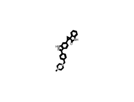 CN1CCN(Cc2ccc(-c3n[nH]c4cc(C5CC56C(=O)Nc5ccccc56)ccc34)cc2)CC1